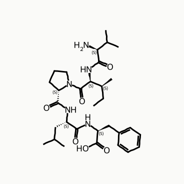 CC[C@H](C)[C@H](NC(=O)[C@@H](N)C(C)C)C(=O)N1CCC[C@H]1C(=O)N[C@@H](CC(C)C)C(=O)N[C@@H](Cc1ccccc1)C(=O)O